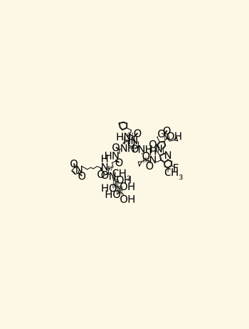 Cc1cc2c(CNC(=O)[C@@H](OCNC(=O)CNC(=O)[C@H](Cc3ccccc3)NC(=O)CNC(=O)CNC(=O)CC[C@H](NC(=O)CCCCCN3C(=O)C=CC3=O)C(=O)N(C)C[C@H](O)[C@@H](O)[C@H](O)[C@H](O)CO)C3CC3)c3c(nc2cc1F)-c1cc2c(c(=O)n1C3)COC(=O)[C@]2(O)CC1CC1